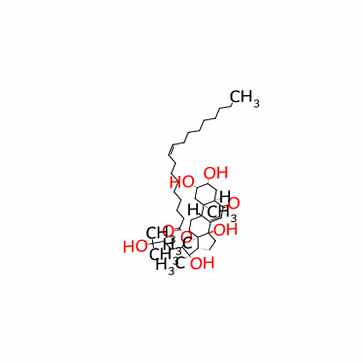 CCCCCCCC/C=C\CCCCCCCC(=O)OC(CCC(C)(C)O)[C@](C)(O)[C@H]1CC[C@@]2(O)C3=CC(=O)[C@@H]4C[C@@H](O)[C@@H](O)C[C@]4(C)[C@H]3CC[C@]12C